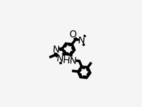 Cc1cccc(C)c1CNc1cc(C(=O)N(C)C)cc2nc(C)n(C)c12